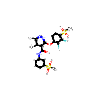 Cc1c(C(F)(F)F)nnc(Oc2ccc(S(C)(=O)=O)c(F)c2F)c1C(=O)Nc1cccc(S(C)(=O)=O)c1